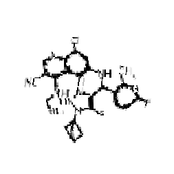 Cc1nc(F)ccc1[C@H](Nc1cc(Cl)c2ncc(C#N)c(NCC(C)(C)C)c2c1)C1=C(F)N(C23CC(C2)C3)NN1